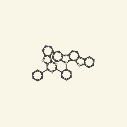 c1ccc(-c2nc(-c3ccccc3-n3c4ccccc4c4ccc5c6ccccc6sc5c43)nc3c2oc2ccccc23)cc1